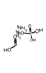 N.N.O=P(O)(O)O.O=PO